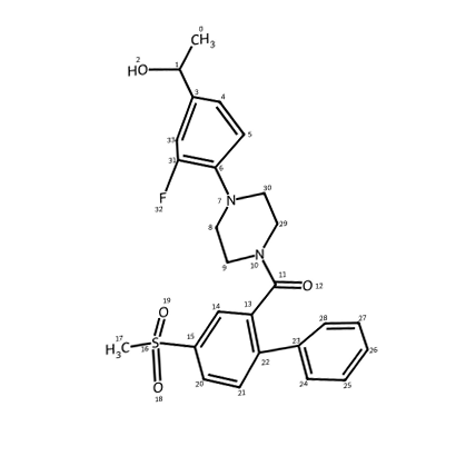 CC(O)c1ccc(N2CCN(C(=O)c3cc(S(C)(=O)=O)ccc3-c3ccccc3)CC2)c(F)c1